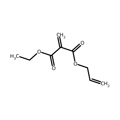 C=CCOC(=O)C(=C)C(=O)OCC